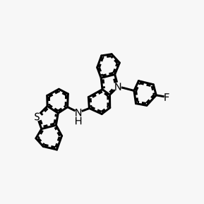 Fc1ccc(-n2c3ccccc3c3cc(Nc4cccc5sc6ccccc6c45)ccc32)cc1